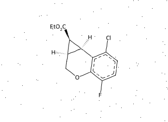 CCOC(=O)[C@@H]1[C@@H]2COc3c(F)ccc(Cl)c3[C@@H]21